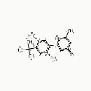 Cc1cc(=O)cc(-c2cc(C)c(C(C)(C)C)cc2C)[nH]1